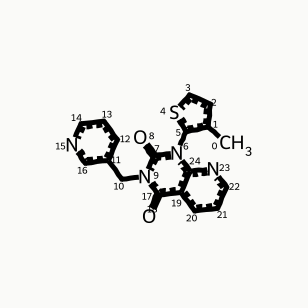 Cc1ccsc1-n1c(=O)n(Cc2cccnc2)c(=O)c2cccnc21